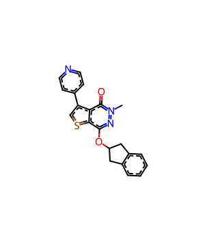 Cn1nc(OC2Cc3ccccc3C2)c2scc(-c3ccncc3)c2c1=O